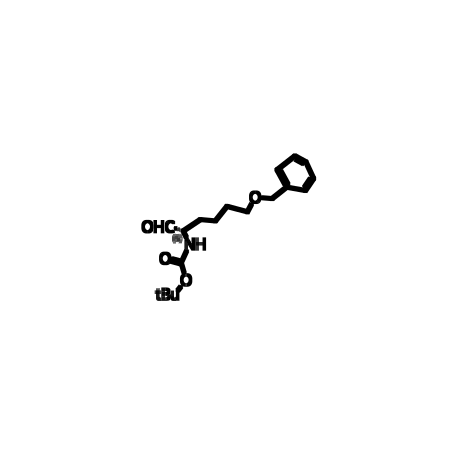 CC(C)(C)OC(=O)N[C@H](C=O)CCCCOCc1ccccc1